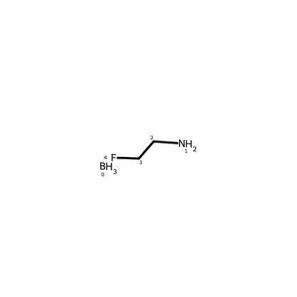 B.NCCF